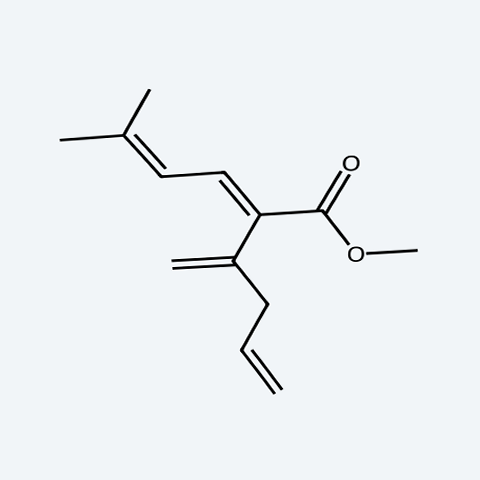 C=CCC(=C)/C(=C\C=C(C)C)C(=O)OC